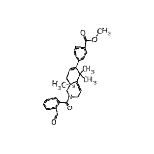 COC(=O)c1ccc(C2=CC[C@]3(C)CN(C(=O)c4ccccc4C=O)CC=C3C2(C)C)cc1